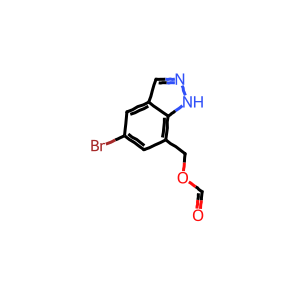 O=COCc1cc(Br)cc2cn[nH]c12